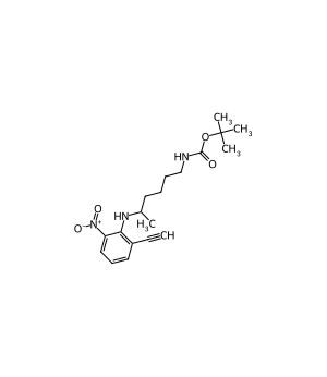 C#Cc1cccc([N+](=O)[O-])c1NC(C)CCCCNC(=O)OC(C)(C)C